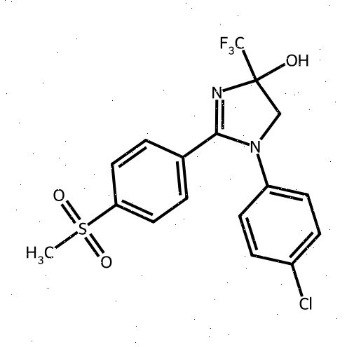 CS(=O)(=O)c1ccc(C2=NC(O)(C(F)(F)F)CN2c2ccc(Cl)cc2)cc1